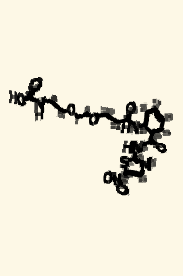 O=C(O)NCCOCCOCCC(=O)Nc1ccccc1C(=O)Nc1ncc([N+](=O)[O-])s1